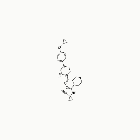 C[C@@H]1CN(c2ccc(OC3CC3)cc2)CCN1C(=O)C1CCCCC1C(=O)NC1(C#N)CC1